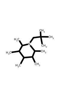 CC1C(C)C(C)N(CC(C)(C)C)C(C)C1C